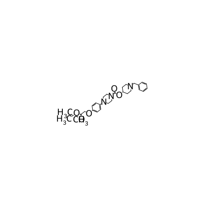 CC(C)(C)OC(=O)COc1ccc(N2CCN(C(=O)OC3CCN(Cc4ccccc4)CC3)CC2)cc1